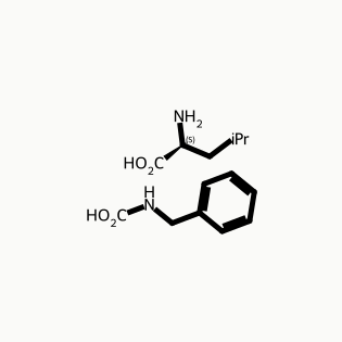 CC(C)C[C@H](N)C(=O)O.O=C(O)NCc1ccccc1